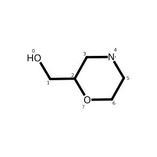 OCC1C[N]CCO1